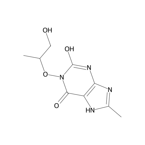 Cc1nc2nc(O)n(OC(C)CO)c(=O)c2[nH]1